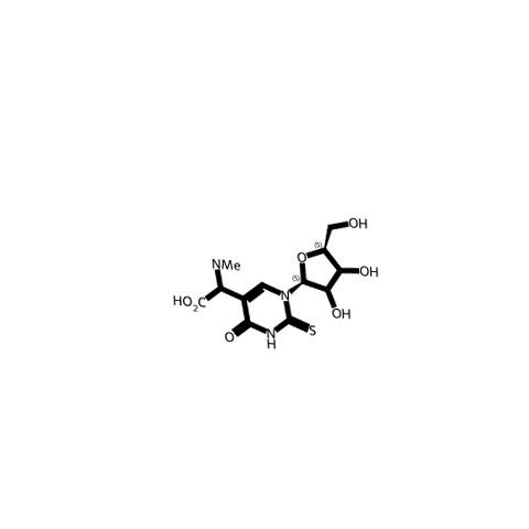 CNC(C(=O)O)c1cn([C@H]2O[C@@H](CO)C(O)C2O)c(=S)[nH]c1=O